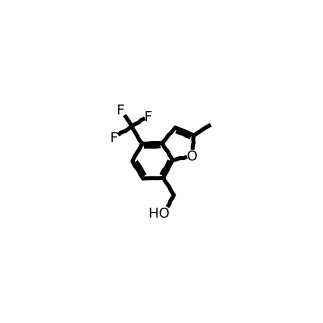 Cc1cc2c(C(F)(F)F)ccc(CO)c2o1